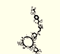 CC[C@H]1OC(=O)[C@H](C)[C@@H](O[C@H]2C[C@@](C)(OC)[C@@H](O)[C@H](C)O2)[C@H](C)[C@@H](O[C@H]2C[C@@H](N(C)CCc3cn([C@H](CF)[C@H](OC)c4ccc([S+]([O-])CC(F)(F)F)cc4)nn3)C[C@@H](C)O2)[C@](C)(O)C[C@@H](C)CN(C)[C@H](C)[C@@H](O)[C@]1(C)O